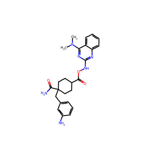 CN(C)c1nc(NOC(=O)C2CCC(Cc3cccc(N)c3)(C(N)=O)CC2)nc2ccccc12